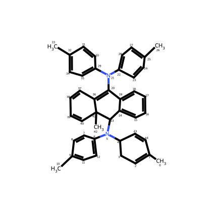 CC1=CCC(N(c2ccc(C)cc2)C2c3ccccc3C(N(c3ccc(C)cc3)c3ccc(C)cc3)=C3C=CC=CC32C)C=C1